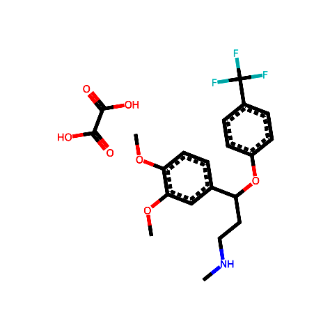 CNCCC(Oc1ccc(C(F)(F)F)cc1)c1ccc(OC)c(OC)c1.O=C(O)C(=O)O